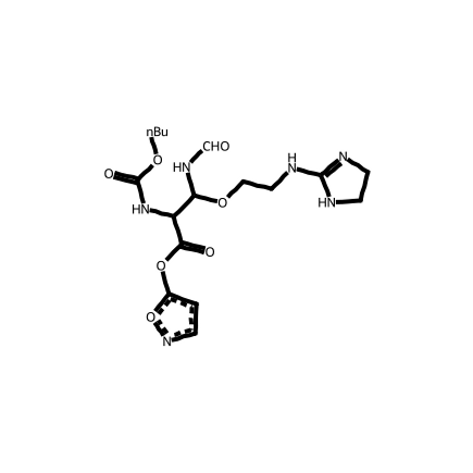 CCCCOC(=O)NC(C(=O)Oc1ccno1)C(NC=O)OCCNC1=NCCN1